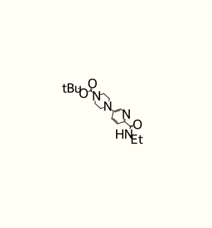 CCNC(=O)c1ccc(N2CCN(C(=O)OC(C)(C)C)CC2)cn1